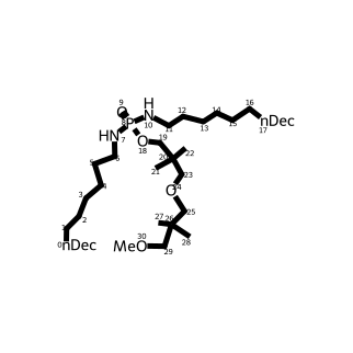 CCCCCCCCCCCCCCCCNP(=O)(NCCCCCCCCCCCCCCCC)OCC(C)(C)COCC(C)(C)COC